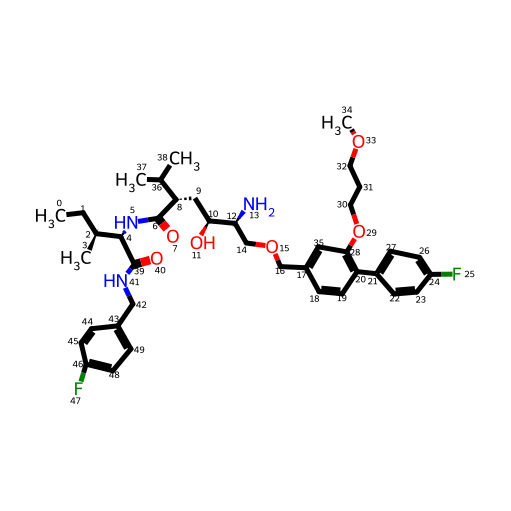 CC[C@H](C)[C@H](NC(=O)[C@@H](C[C@H](O)[C@@H](N)COCc1ccc(-c2ccc(F)cc2)c(OCCCOC)c1)C(C)C)C(=O)NCc1ccc(F)cc1